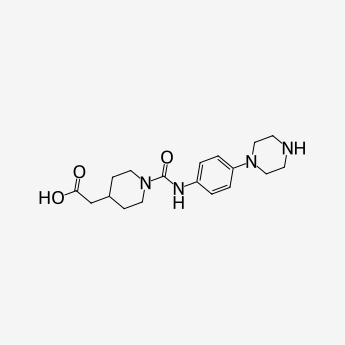 O=C(O)CC1CCN(C(=O)Nc2ccc(N3CCNCC3)cc2)CC1